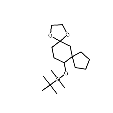 CC(C)(C)[Si](C)(C)OC1CCC2(CC13CCCC3)OCCO2